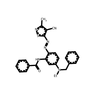 CCN(Cc1ccccc1)c1ccc(N=Nc2snc(C)c2C#N)c(NC(=O)c2ccccc2)c1